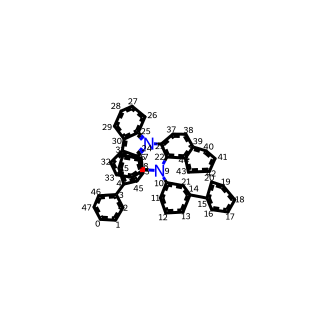 c1ccc(-c2cccc(N(c3cccc(-c4ccccc4)c3)c3c(-n4c5ccccc5c5ccccc54)ccc4ccccc34)c2)cc1